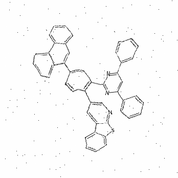 c1ccc(-c2cc(-c3ccccc3)nc(-c3cc(-c4cc5ccccc5c5ccccc45)ccc3-c3cnc4sc5ccccc5c4c3)n2)cc1